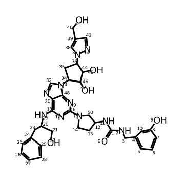 O=C(NCc1cccc(O)c1)NC1CCN(c2nc(NC(CO)Cc3ccccc3)c3ncn(C4CC(n5cc(CO)cn5)C(O)C4O)c3n2)C1